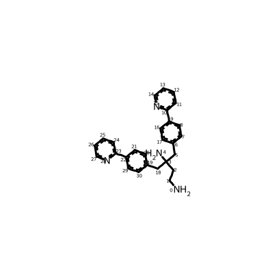 NCCC(N)(Cc1ccc(-c2ccccn2)cc1)Cc1ccc(-c2ccccn2)cc1